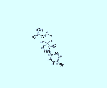 O=C(O)N1CCCC(F)(C(=O)Nc2ccc(Br)cn2)C1